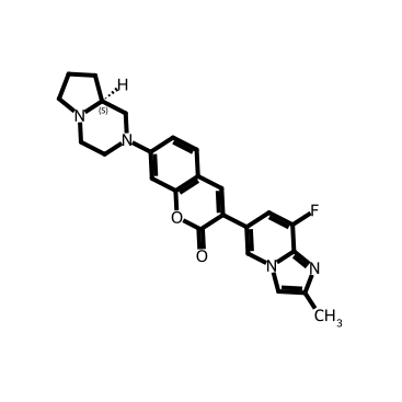 Cc1cn2cc(-c3cc4ccc(N5CCN6CCC[C@H]6C5)cc4oc3=O)cc(F)c2n1